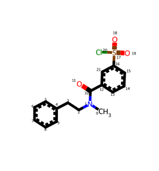 CN(CCc1ccccc1)C(=O)c1cccc(S(=O)(=O)Cl)c1